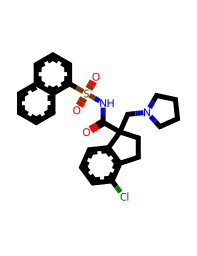 O=C(NS(=O)(=O)c1cccc2ccccc12)C1(CN2CCCC2)CCc2c(Cl)cccc21